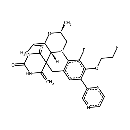 C=C1NC(=O)NC(=O)C12Cc1cc(-c3cnccn3)c(OCCF)c(F)c1N1C[C@H](C)O/C(=C/C)[C@H]12